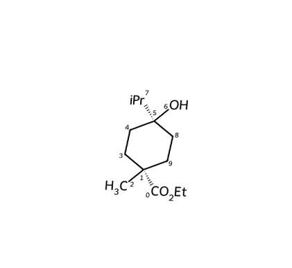 CCOC(=O)[C@]1(C)CC[C@](O)(C(C)C)CC1